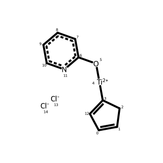 C1=CC[C]([Ti+2][O]c2ccccn2)=C1.[Cl-].[Cl-]